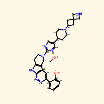 OC[C@@H]1c2c([nH]c3nnc(-c4ccccc4O)cc23)CCN1c1ncc(C2CCN(C3CC4(CNC4)C3)CC2)cn1